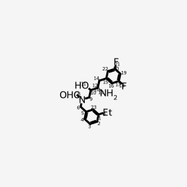 CCc1cccc(CN(C=O)CC(O)[C@@H](N)Cc2cc(F)cc(F)c2)c1